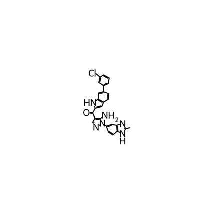 Cc1nc2cc(-n3ncc(C(=O)c4cc5ccc(-c6cccc(Cl)c6)cc5[nH]4)c3N)ccc2[nH]1